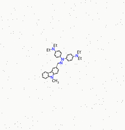 CCN(CC)c1ccc(N(N=Cc2ccc3c(c2)c2ccccc2n3C)c2ccc(N(CC)CC)cc2)cc1